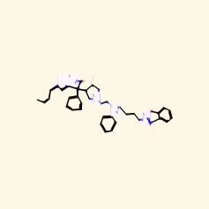 C\C=C/C=C\C=C1/NC(=O)C1(c1ccccc1)C1CCN(CCN(CCCCN2C(=O)c3ccccc3C2=O)c2ccccc2)C1